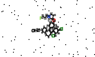 O=Cc1ccc2c(c1)CCCC(c1ccc(Cl)cc1Cl)=C2c1ccc(O[C@H]2CCN(CCCF)C2)cc1